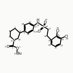 CC(C)(C)OC(=O)N1CCCC(c2ccc(NS(=O)(=O)CCc3cccc(Cl)c3Cl)cc2)C1